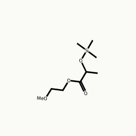 COCCOC(=O)C(C)O[Si](C)(C)C